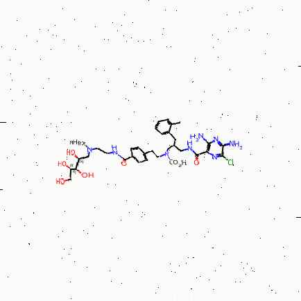 CCCCCCN(CCNC(=O)c1ccc(CCN(CC(CNC(=O)c2nc(Cl)c(N)nc2N)Cc2ccccc2C)C(=O)O)cc1)C[C@H](O)[C@@H](O)[C@H](O)CO